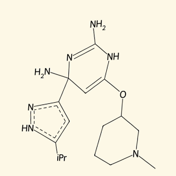 CC(C)c1cc(C2(N)C=C(OC3CCCN(C)C3)NC(N)=N2)n[nH]1